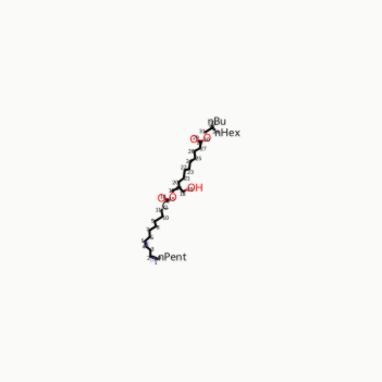 CCCCC/C=C\C/C=C\CCCCCCCC(=O)OCC(CO)CCCCCCCCC(=O)OCC(CCCC)CCCCCC